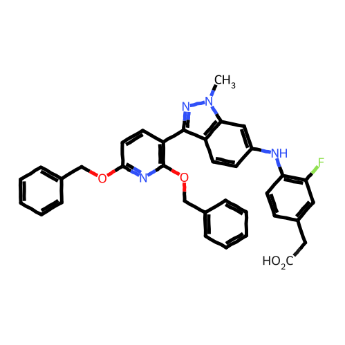 Cn1nc(-c2ccc(OCc3ccccc3)nc2OCc2ccccc2)c2ccc(Nc3ccc(CC(=O)O)cc3F)cc21